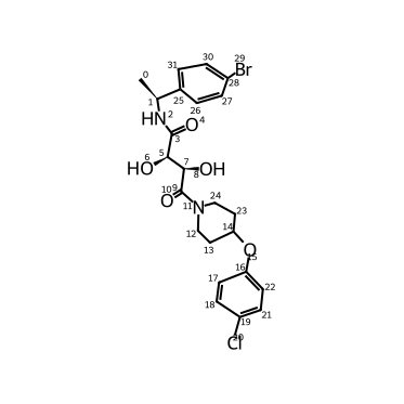 C[C@H](NC(=O)[C@H](O)[C@@H](O)C(=O)N1CCC(Oc2ccc(Cl)cc2)CC1)c1ccc(Br)cc1